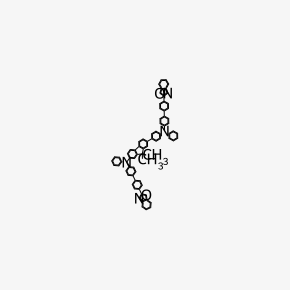 CC1(C)c2cc(-c3ccc(N(c4ccccc4)c4ccc(-c5ccc(-c6nc7ccccc7o6)cc5)cc4)cc3)ccc2-c2ccc(N(c3ccccc3)c3ccc(-c4ccc(-c5nc6ccccc6o5)cc4)cc3)cc21